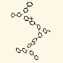 C=Cc1ccc(-n2c3ccc(-c4ccc5c(c4)C(C)(C)c4cc(N(c6ccc(-c7ccccc7)cc6)c6ccc(-c7ccccc7)cc6)ccc4-5)cc3c3cc(-c4ccc5c(c4)C(C)(C)c4cc(N(c6ccc(-c7ccccc7)cc6)c6ccc(-c7ccccc7)cc6)ccc4-5)ccc32)cc1